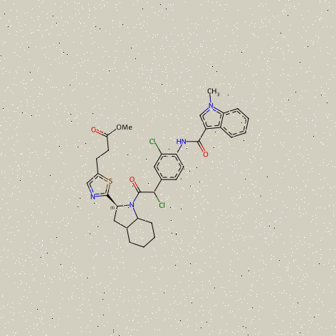 COC(=O)CCc1cnc([C@@H]2CC3CCCCC3N2C(=O)C(Cl)c2ccc(NC(=O)c3cn(C)c4ccccc34)c(Cl)c2)s1